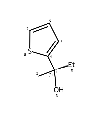 CC[C@@](C)(O)c1cccs1